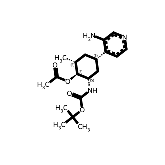 CC(=O)O[C@H]1[C@H](C)C[C@H](c2ccncc2N)C[C@@H]1NC(=O)OC(C)(C)C